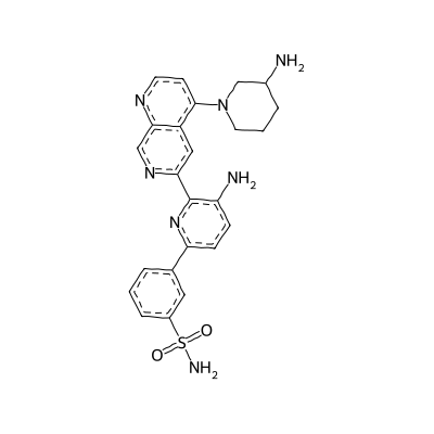 Nc1ccc(-c2cccc(S(N)(=O)=O)c2)nc1-c1cc2c(N3CCCC(N)C3)ccnc2cn1